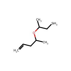 C=CCC(C)OC(C)C[SiH3]